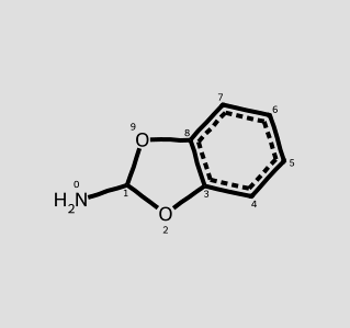 NC1Oc2ccccc2O1